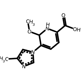 COC1NC(C(=O)O)=CC=C1n1cnc(C)c1